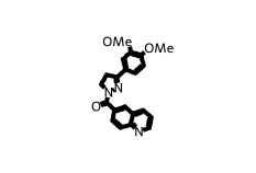 COc1ccc(C2=NN(C(=O)c3ccc4ncccc4c3)CC2)cc1OC